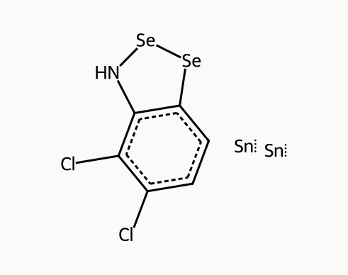 Clc1ccc2c(c1Cl)N[Se][Se]2.[Sn].[Sn]